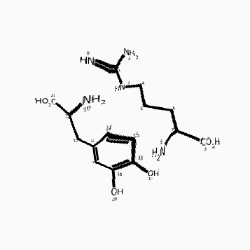 N=C(N)NCCCC(N)C(=O)O.NC(Cc1ccc(O)c(O)c1)C(=O)O